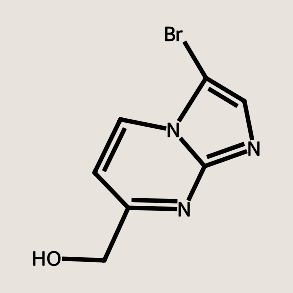 OCc1ccn2c(Br)cnc2n1